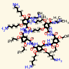 CC(C)CCOc1cc(OCCC(C)C)c(C(=O)NNC(=O)c2cc(C(=O)NNC(=O)c3cc(C(=O)NNC(=O)c4cc(C(=O)NCCN(C)C)c(OCCCCCN)cc4OCCCCCN)c(OCCC(C)C)cc3OCCC(C)C)c(OCCCCCN)cc2OCCCCCN)cc1C(=O)NNC(=O)c1cc(C(=O)NCCN(C)C)c(OCCCCN)cc1OCCCCN